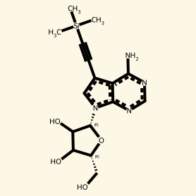 C[Si](C)(C)C#Cc1cn([C@@H]2O[C@H](CO)C(O)C2O)c2ncnc(N)c12